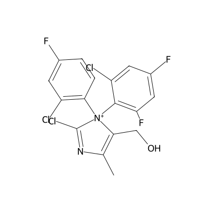 CC1=C(CO)[N+](c2ccc(F)cc2Cl)(c2c(F)cc(F)cc2Cl)C(Cl)=N1